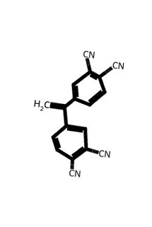 C=C(c1ccc(C#N)c(C#N)c1)c1ccc(C#N)c(C#N)c1